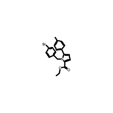 CCOC(=O)c1ccc(-c2ccc(C)cc2)n1Cc1ccc(Br)cc1